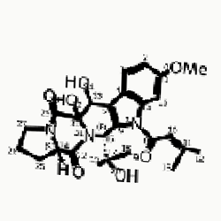 COc1ccc2c3c(n(C(=O)C=C(C)C)c2c1)[C@H](C(C)(C)O)N1C(=O)[C@@H]2CCCN2C(=O)C1(O)C3O